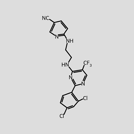 N#Cc1ccc(NCCNc2nc(-c3ccc(Cl)cc3Cl)ncc2C(F)(F)F)nc1